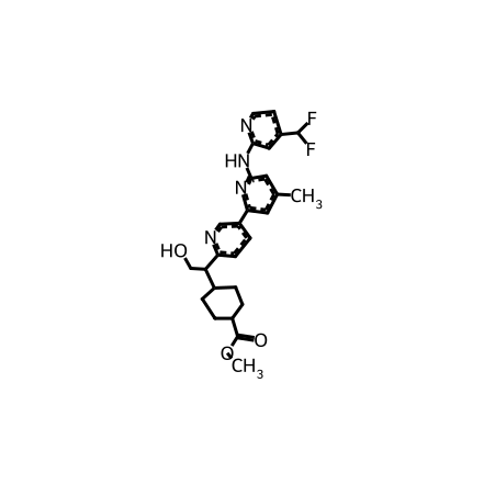 COC(=O)C1CCC(C(CO)c2ccc(-c3cc(C)cc(Nc4cc(C(F)F)ccn4)n3)cn2)CC1